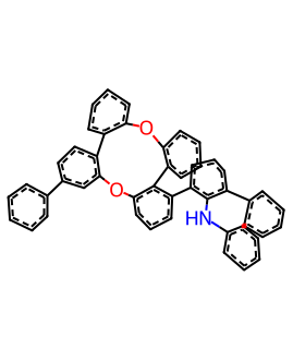 c1ccc(Nc2c(-c3ccccc3)cccc2-c2cccc3c2-c2ccccc2Oc2ccccc2-c2ccc(-c4ccccc4)cc2O3)cc1